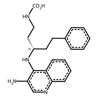 Nc1cnc2ccccc2c1N[C@H](CCNC(=O)O)CCc1ccccc1